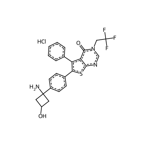 Cl.NC1(c2ccc(-c3sc4ncn(CC(F)(F)F)c(=O)c4c3-c3ccccc3)cc2)CC(O)C1